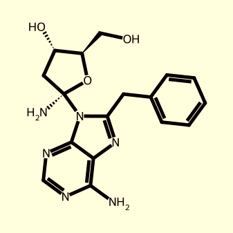 Nc1ncnc2c1nc(Cc1ccccc1)n2[C@@]1(N)C[C@H](O)[C@@H](CO)O1